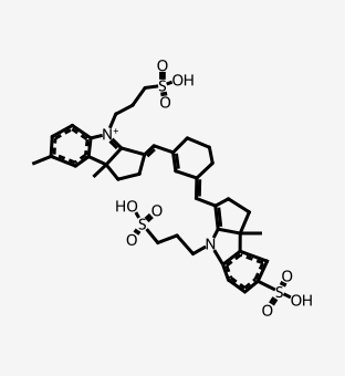 Cc1ccc2c(c1)C1(C)CC/C(=C\C3=CC(=C/C4=C5N(CCCS(=O)(=O)O)c6ccc(S(=O)(=O)O)cc6C5(C)CC4)/CCC3)C1=[N+]2CCCS(=O)(=O)O